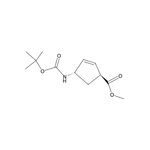 COC(=O)[C@@H]1C=C[C@@H](NC(=O)OC(C)(C)C)C1